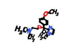 COc1ccc(C(C)(OCCN(C)C)c2nccn2C)cc1